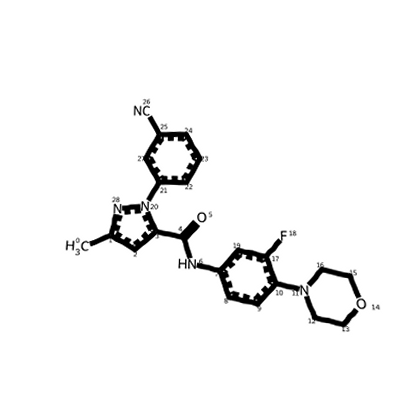 Cc1cc(C(=O)Nc2ccc(N3CCOCC3)c(F)c2)n(-c2cccc(C#N)c2)n1